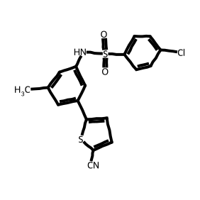 Cc1cc(NS(=O)(=O)c2ccc(Cl)cc2)cc(-c2ccc(C#N)s2)c1